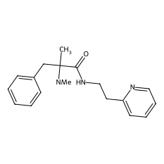 CNC(C)(Cc1ccccc1)C(=O)NCCc1ccccn1